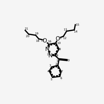 C=C(c1ccccc1)c1cc(OCCCC)c(OCCCC)nn1